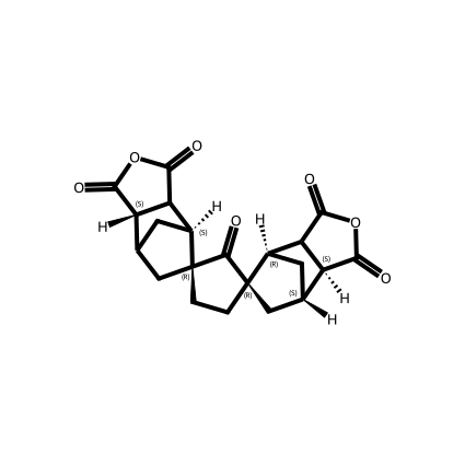 O=C1OC(=O)[C@@H]2C1[C@H]1C[C@H]2C[C@]12CC[C@]1(CC3C[C@H]1C1C(=O)OC(=O)[C@@H]31)C2=O